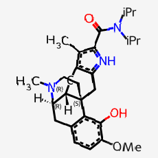 COc1ccc2c(c1O)[C@]13CCN(C)[C@H](C2)[C@@H]1Cc1c([nH]c(C(=O)N(C(C)C)C(C)C)c1C)C3